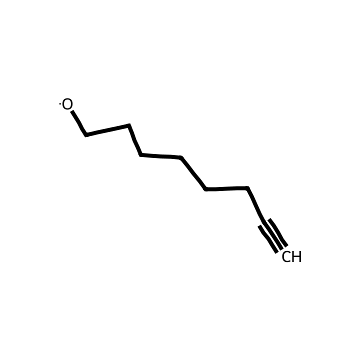 C#CCCCCCC[O]